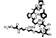 CC[C@H](C)[C@@H]([C@@H](CC(=O)N1CCC[C@H]1[C@H](OC)[C@@H](C)C(=O)N[C@@H](Cc1ccccc1)c1nccs1)OC)N(C)C(=O)[C@@H](NC(=O)C(C(C)C)N(C)C(=O)CCOCCOCCNC(=O)CON)C(C)C